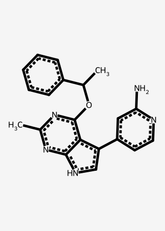 Cc1nc(OC(C)c2ccccc2)c2c(-c3ccnc(N)c3)c[nH]c2n1